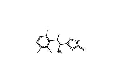 Cc1ccc(F)c(C(C)C(N)c2n[nH]c(=O)o2)c1C